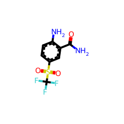 NC(=O)c1cc(S(=O)(=O)C(F)(F)F)ccc1N